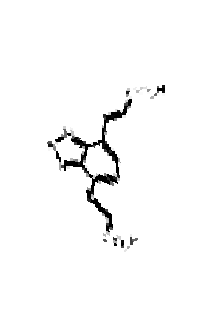 O=C(O)C=Cc1ccc(C=CC(=O)O)c2nsnc12